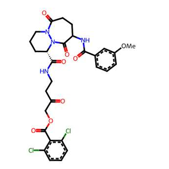 COc1cccc(C(=O)NC2CCC(=O)N3CCC[C@@H](C(=O)NCCC(=O)COC(=O)c4c(Cl)cccc4Cl)N3C2=O)c1